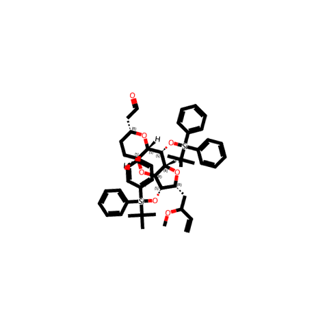 C=CC(C[C@H]1O[C@H]2[C@@H](O[Si](c3ccccc3)(c3ccccc3)C(C)(C)C)[C@H]3O[C@@H](CC=O)CC[C@@H]3O[C@H]2[C@H]1O[Si](c1ccccc1)(c1ccccc1)C(C)(C)C)OC